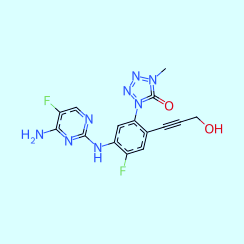 Cn1nnn(-c2cc(Nc3ncc(F)c(N)n3)c(F)cc2C#CCO)c1=O